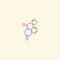 O=C1CC2(C=CCC2)c2cccc3c2N1CCNC3